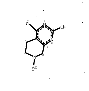 CC(=O)N1CCc2c(Cl)nc(Cl)nc2C1